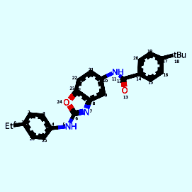 CCc1ccc(Nc2nc3cc(NC(=O)c4ccc(C(C)(C)C)cc4)ccc3o2)cc1